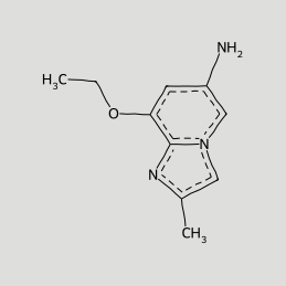 CCOc1cc(N)cn2cc(C)nc12